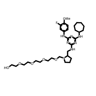 COc1ccc(Nc2nc(NCC3CCCN3COCCOCCOCCOCCO)nc(NC3CCCCCC3)n2)cc1F